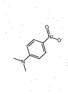 CN(C)c1[c]cc([N+](=O)[O-])[c]c1